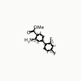 COC(=O)c1ccc(-c2ccc(F)cc2F)cc1N